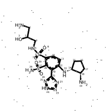 NCC(O)CNS(=O)(=O)c1ccc(N[C@@H]2CCC[C@H]2N)c(-c2nn[nH]n2)c1S(N)(=O)=O